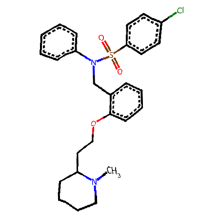 CN1CCCCC1CCOc1ccccc1CN(c1ccccc1)S(=O)(=O)c1ccc(Cl)cc1